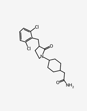 NC(=O)CC1CCC(N2CCC(Cc3c(Cl)cccc3Cl)C2=O)CC1